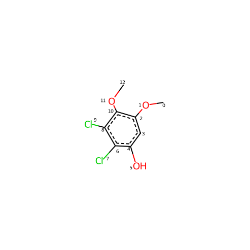 COc1cc(O)c(Cl)c(Cl)c1OC